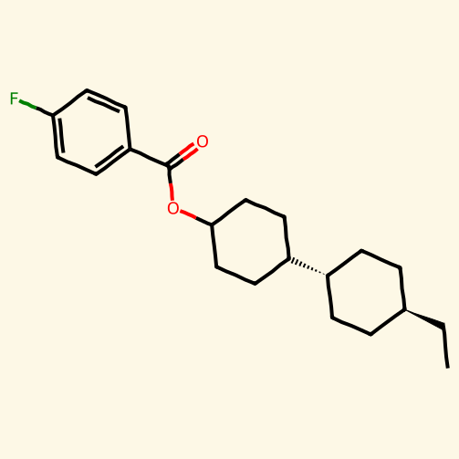 CC[C@H]1CC[C@H](C2CCC(OC(=O)c3ccc(F)cc3)CC2)CC1